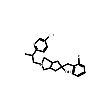 CC(CN1CC2CC(O)(Cc3ccccc3F)CC2C1)c1ccc(O)cn1